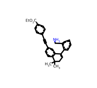 CCOC(=O)c1ccc(C#Cc2ccc3c(c2)C(c2ccccc2CN)=CCC3(C)C)cc1